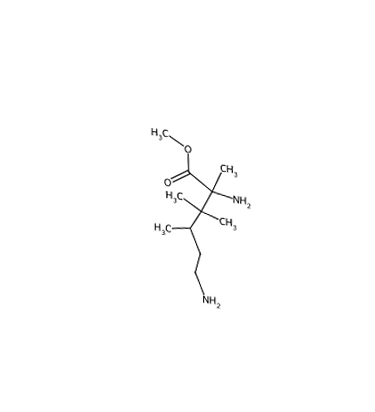 COC(=O)C(C)(N)C(C)(C)C(C)CCN